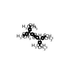 CC(C)(C)c1ccc(N(c2ccc(C(C)(C)C)cc2)c2ccc(S(=O)(=O)c3ccc(N(c4ccc(C(C)(C)C)cc4)c4ccc(C(C)(C)C)cc4)cc3)cc2)cc1